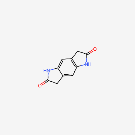 O=C1Cc2cc3c(cc2N1)CC(=O)N3